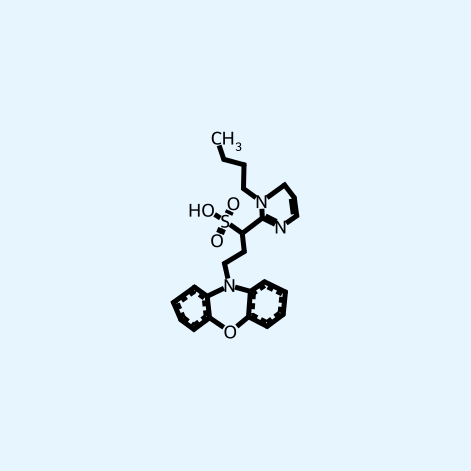 CCCCN1CC=CN=C1C(CCN1c2ccccc2Oc2ccccc21)S(=O)(=O)O